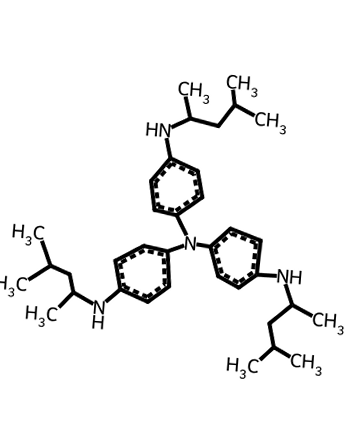 CC(C)CC(C)Nc1ccc(N(c2ccc(NC(C)CC(C)C)cc2)c2ccc(NC(C)CC(C)C)cc2)cc1